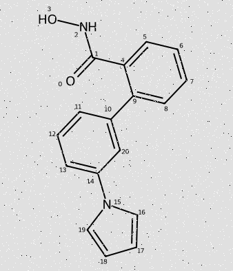 O=C(NO)c1ccccc1-c1cccc(-n2cccc2)c1